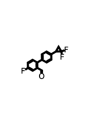 O=Cc1cc(F)ccc1-c1ccc(C2CC2(F)F)cc1